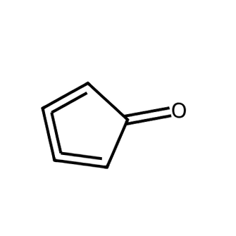 O=C1C=C=C=C1